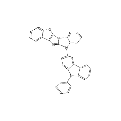 c1ccc(-n2c3ccccc3c3cc(-n4c5ccccc5n5c6oc7ccccc7c6nc45)ccc32)cc1